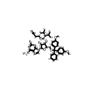 COc1ccc(C(OC[C@H]2O[C@@H](n3cnc4c(N)nc(F)nc43)C(F)C2OP(OCCC#N)N(C(C)C)C(C)C)(c2ccccc2)c2ccc(OC)cc2)cc1